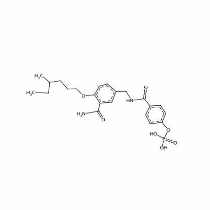 CCC(C)CCCOc1ccc(CNC(=O)c2ccc(OP(=O)(O)O)cc2)cc1C(N)=O